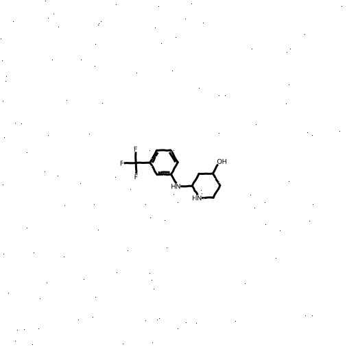 OC1CCNC(Nc2cccc(C(F)(F)F)c2)C1